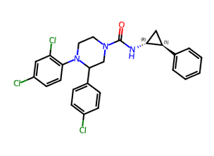 O=C(N[C@@H]1C[C@H]1c1ccccc1)N1CCN(c2ccc(Cl)cc2Cl)C(c2ccc(Cl)cc2)C1